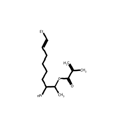 C=C(C)C(=O)OC(C)C(CCC)CCCC/C=C/CC